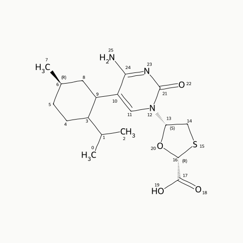 CC(C)C1CC[C@@H](C)CC1c1cn([C@@H]2CS[C@H](C(=O)O)O2)c(=O)nc1N